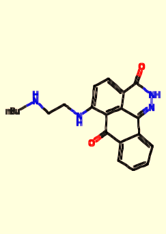 CCCCNCCNc1ccc2c(=O)[nH]nc3c2c1C(=O)c1ccccc1-3